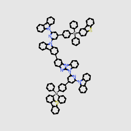 c1ccc([Si](c2ccccc2)(c2ccc(-c3cc(-n4c5ccccc5c5ccccc54)nc(-n4c5ccccc5c5cc(-c6ccc7nc8n(-c9cc(-c%10ccc([Si](c%11ccccc%11)(c%11ccccc%11)c%11cccc%12c%11sc%11ccccc%11%12)cc%10)cc(-n%10c%11ccccc%11c%11ccccc%11%10)n9)c9ccccc9n8c7c6)ccc54)c3)cc2)c2ccc3sc4ccccc4c3c2)cc1